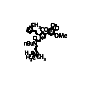 CCCCN(CCC[N+](C)(C)C)C(=O)CN1C[C@H](c2cc(OC)c3c(c2)OCO3)[C@@H](C(=O)O)[C@@H]1CCc1cccn1C